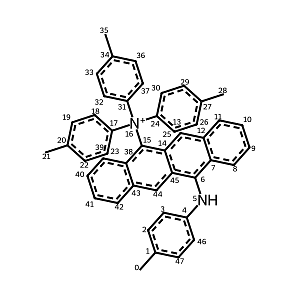 Cc1ccc(Nc2c3ccccc3cc3c([N+](c4ccc(C)cc4)(c4ccc(C)cc4)c4ccc(C)cc4)c4ccccc4cc23)cc1